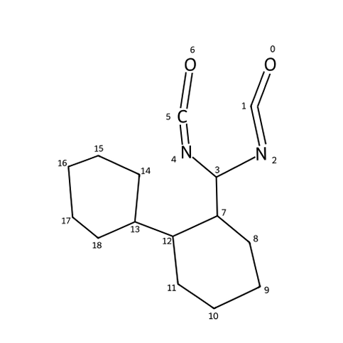 O=C=NC(N=C=O)C1CCCCC1C1CCCCC1